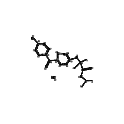 CC(C)OC(=O)C(C)(C)Oc1ccc(C(=O)c2ccc(Cl)cc2)cc1.Cl